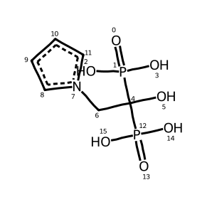 O=P(O)(O)C(O)(Cn1cccc1)P(=O)(O)O